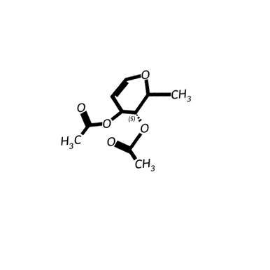 CC(=O)OC1C=COC(C)[C@@H]1OC(C)=O